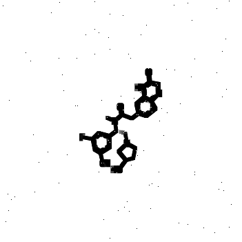 CN(C(=O)Cc1ccc2ncc(=O)[nH]c2c1)[C@H](CN1CCC(O)C1)c1cc(F)cc(C#N)c1